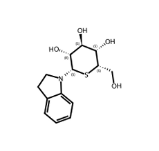 OC[C@@H]1S[C@H](N2CCc3ccccc32)[C@H](O)[C@@H](O)[C@@H]1O